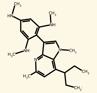 [CH2]CC(CC)c1cc(C)nc2c(-c3c(NC)cc(NC)cc3NC)cn(C)c12